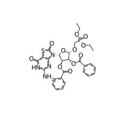 CCOP(=O)(CO[C@H]1O[C@@H](n2c(=O)sc3c(=O)[nH]c(N)nc32)[C@H](OC(=O)c2ccccc2)[C@@H]1OC(=O)c1ccccc1)OCC